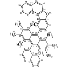 Bc1c(B)c(B)c2c(-c3cccc4ccccc34)c3c(B)c(B)c(B)c(B)c3c(-c3ccc4oc5ccc6ccccc6c5c4c3)c2c1B